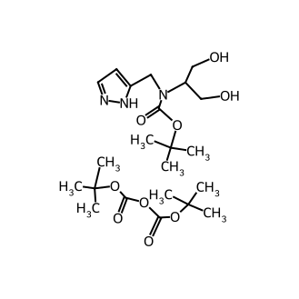 CC(C)(C)OC(=O)N(Cc1ccn[nH]1)C(CO)CO.CC(C)(C)OC(=O)OC(=O)OC(C)(C)C